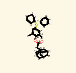 Cc1cc([S+](C2=CCCC=C2)c2ccccc2)cc(C)c1OC(=O)CC12CC3CC(CC(C3)C1)C2